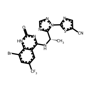 C[C@H](Nc1nc(=O)[nH]c2c(Br)cc(C(F)(F)F)cc12)c1ncnn1-c1ncc(C#N)s1